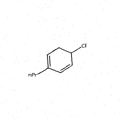 CCCC1=CCC(Cl)C=C1